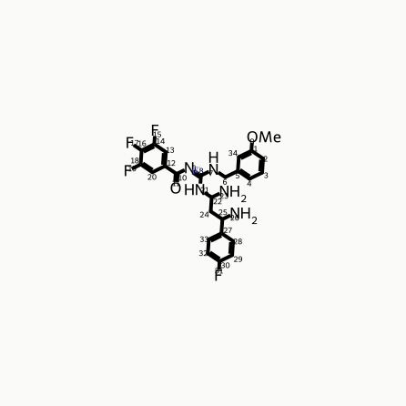 COc1cccc(CN/C(=N/C(=O)c2cc(F)c(F)c(F)c2)NC(N)CC(N)c2ccc(F)cc2)c1